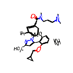 COc1cccc(OCC2CC2)c1-c1cc(C(=O)O)nn1-c1ccc(C(=O)N(C)CCCN(C)C)cc1C(C)C.[KH]